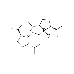 CC(C)[C@@H]1CC[C@@H](C(C)C)P1CCP1(=O)[C@H](C(C)C)CC[C@H]1C(C)C